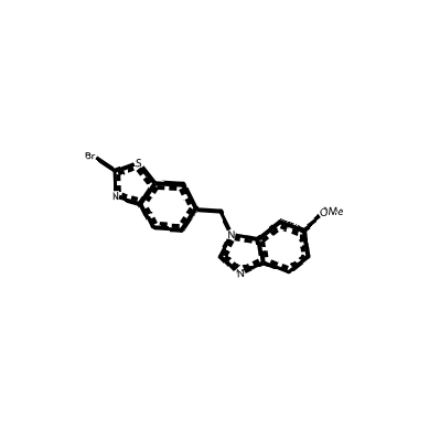 COc1ccc2ncn(Cc3ccc4nc(Br)sc4c3)c2c1